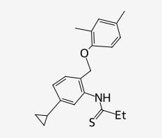 CCC(=S)Nc1cc(C2CC2)ccc1COc1ccc(C)cc1C